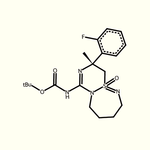 CC(C)(C)OC(=O)NC1=N[C@](C)(c2ccccc2F)CS2(=O)=NCCCCN12